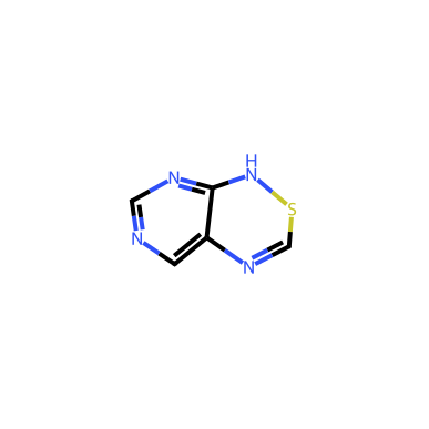 C1=Nc2cncnc2NS1